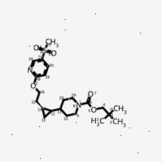 CC(C)(C)COC(=O)N1CCC(C2C[C@H]2CCOc2ccc(S(C)(=O)=O)cn2)CC1